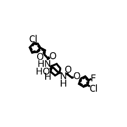 O=C(COc1ccc(Cl)c(F)c1)NC12CCC(NC(=O)c3cc4cc(Cl)ccc4o3)(CC1)[C@@H](O)C2